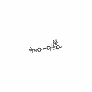 OC1(C(F)(F)c2ccc(C#Cc3ccc(OCc4nccs4)cc3)cn2)Cn2nnnc2-c2cc(F)ccc21